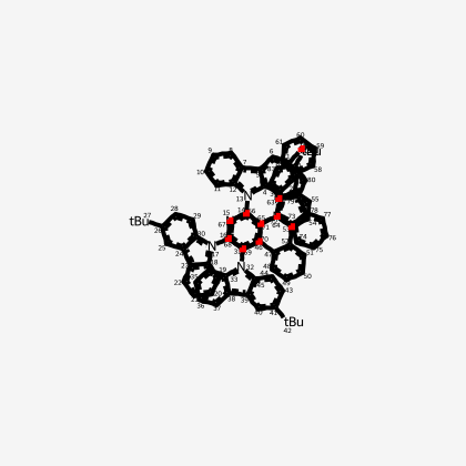 CC(C)(C)c1ccc2c(c1)c1ccccc1n2-c1nc(-n2c3ccccc3c3cc(C(C)(C)C)ccc32)c(-n2c3ccccc3c3cc(C(C)(C)C)ccc32)c(-c2ccccc2-c2ccc(-c3ccccc3)nc2-c2ccccc2)c1-n1c2ccccc2c2cc(C(C)(C)C)ccc21